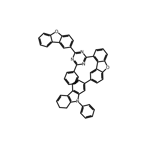 C1=Cc2c(n(-c3ccccc3)c3cc(-c4ccc5oc6cccc(-c7nc(-c8ccccc8)nc(-c8ccc9oc%10ccccc%10c9c8)n7)c6c5c4)ccc23)CC1